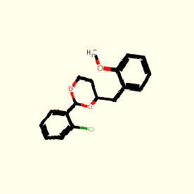 COc1ccccc1CC1[CH]COC(c2ccccc2Cl)O1